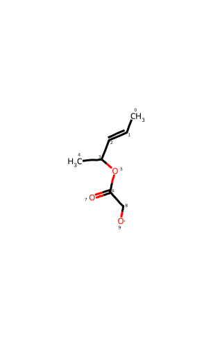 CC=CC(C)OC(=O)C[O]